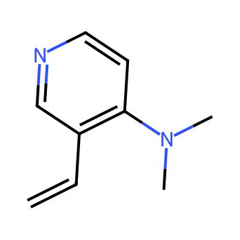 C=Cc1cnccc1N(C)C